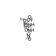 CCC(=O)N1CCC(NC(=O)c2c(C)[nH]c3c(-c4cc(F)c(OC)cc4OCC4CC4)ncnc23)CC1